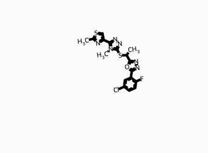 Cc1nc(-c2nnc(SC(C)c3nnc(-c4cc(Cl)ccc4F)o3)n2C)cs1